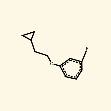 Fc1cc[c]c(OCCC2CC2)c1